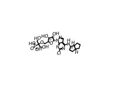 O=P(O)(O)C(CO)(CO)OCC1O[C@@H](n2ncc3c(N[C@@H]4CC[C@H]5CCC[C@H]54)nc(Cl)nc32)[C@H](O)[C@@H]1O